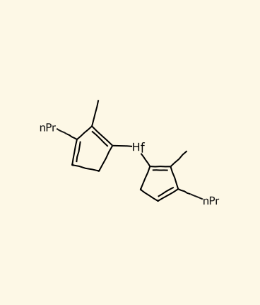 CCCC1=CC[C]([Hf][C]2=C(C)C(CCC)=CC2)=C1C